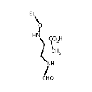 CC(=O)O.CCONCCNC=O